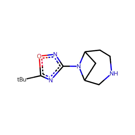 CC(C)(C)c1nc(N2C3CCNCC2C3)no1